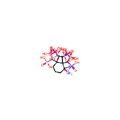 NC1(N)CCCC(C(P(=O)(O)O)P(=O)(O)O)(C(P(=O)(O)O)P(=O)(O)O)C1(C(P(=O)(O)O)P(=O)(O)O)C(P(=O)(O)O)P(=O)(O)O